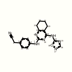 N#CCc1ccc(Nc2nc3c(c(Nc4ncno4)n2)CCCC3)cc1